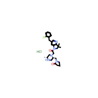 C[C@@H]1CN(CC(=O)N2CC(C)(C)c3ncc(Cc4ccccc4F)cc32)[C@@H](CN2CCCC2=O)CN1.Cl